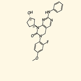 COc1ccc(N2Cc3cnc(Nc4ccccc4)nc3N([C@H]3CC[C@H](O)C3)C2=O)c(F)c1